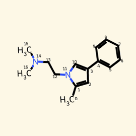 Cc1cc(-c2ccccc2)cn1CCN(C)C